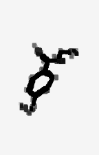 Cc1ccc(C(=O)NCC#N)cc1